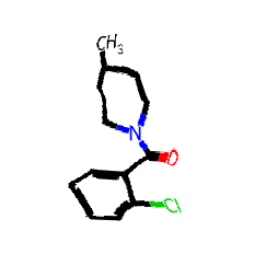 CC1CCN(C(=O)c2cc[c]cc2Cl)CC1